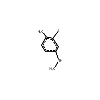 CNc1ccc(C)c(F)c1